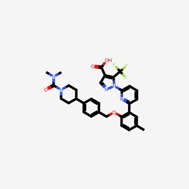 Cc1ccc(OCc2ccc(C3CCN(C(=O)N(C)C)CC3)cc2)c(-c2cccc(-n3ncc(C(=O)O)c3C(F)(F)F)n2)c1